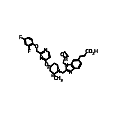 C[C@H]1C[C@@H](Oc2ccnc(COc3ccc(F)cc3F)n2)CCN1Cc1nc2ccc(CCC(=O)O)cc2n1C[C@@H]1CCO1